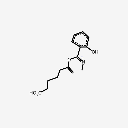 C=C(CCCCC(=O)O)O/C(=N\C)c1ccccc1O